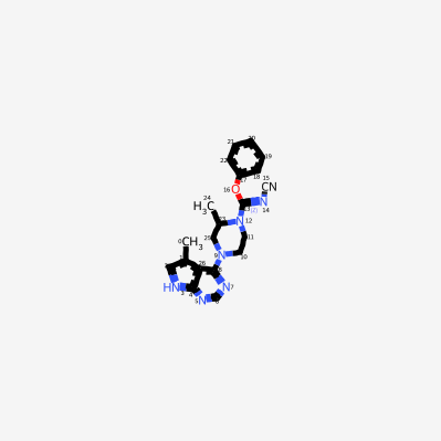 Cc1c[nH]c2ncnc(N3CCN(/C(=N/C#N)Oc4ccccc4)C(C)C3)c12